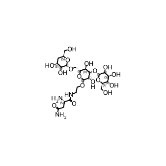 NC(=O)C[C@H](N)C(=O)NCCO[C@H]1O[C@H](CO[C@H]2O[C@H](CO)C[C@H](O)[C@@H]2O)[C@@H](O)[C@H](O[C@H]2O[C@H](CO)[C@@H](O)[C@H](O)[C@@H]2O)[C@@H]1O